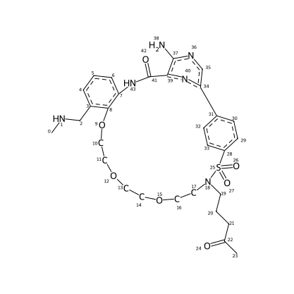 CNCc1cccc2c1OCCOCCOCCN(CCCC(C)=O)S(=O)(=O)c1ccc(cc1)-c1cnc(N)c(n1)C(=O)N2